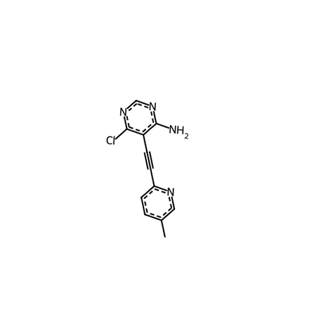 Cc1ccc(C#Cc2c(N)ncnc2Cl)nc1